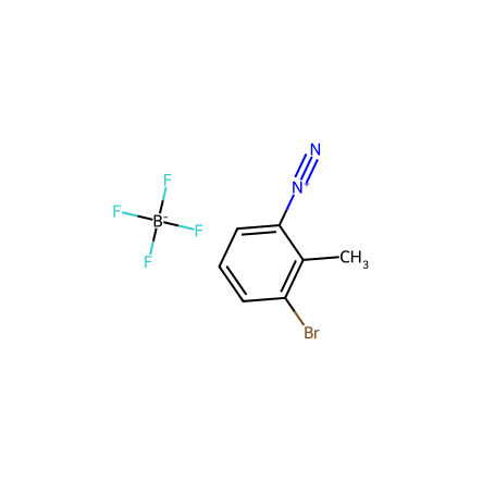 Cc1c(Br)cccc1[N+]#N.F[B-](F)(F)F